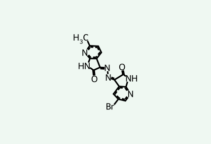 Cc1ccc2c(n1)NC(=O)/C2=N\N=C1/C(=O)Nc2ncc(Br)cc21